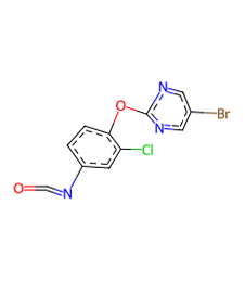 O=C=Nc1ccc(Oc2ncc(Br)cn2)c(Cl)c1